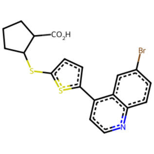 O=C(O)C1CCCC1Sc1ccc(-c2ccnc3ccc(Br)cc23)s1